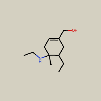 CCN[C@]1(C)CC=C(CO)CC1CC